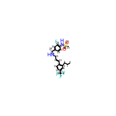 CCCc1cc(C(F)(F)F)ccc1C=CCN[C@H](C)c1ccc(NS(C)(=O)=O)c(F)c1